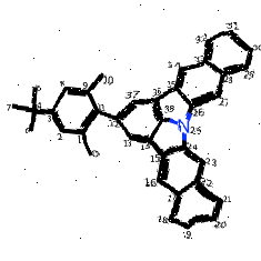 Cc1cc(C(C)(C)C)cc(C)c1-c1cc2c3cc4ccccc4cc3n3c4cc5ccccc5cc4c(c1)c23